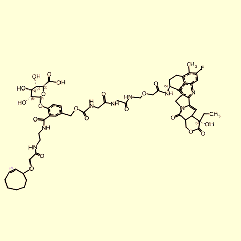 CC[C@@]1(O)C(=O)OCC2C(=O)N3Cc4c(nc5cc(F)c(C)c6c5c4[C@@H](NC(=O)COCNC(=O)CNC(=O)CNC(=O)OCc4ccc(O[C@@H]5O[C@H](C(=O)O)[C@@H](O)[C@H](O)[C@H]5O)c(C(=O)NCCNC(=O)COC5/C=C\CCCCC5)c4)CC6)C3=CC21